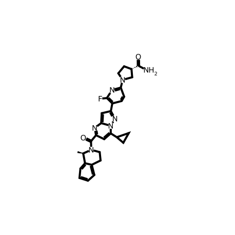 C[C@@H]1c2ccccc2CCN1C(=O)c1cc(C2CC2)n2nc(-c3ccc(N4CC[C@H](C(N)=O)C4)nc3F)cc2n1